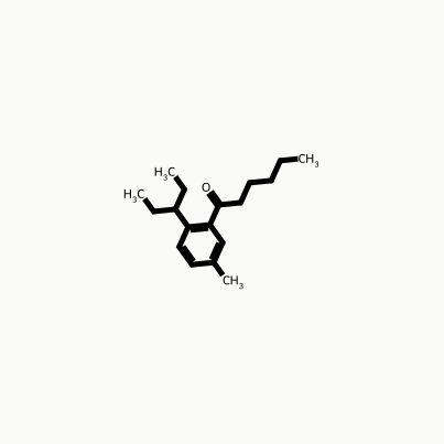 CCCCCC(=O)c1cc(C)ccc1C(CC)CC